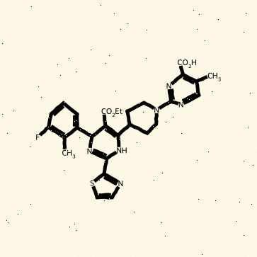 CCOC(=O)C1=C(C2CCN(c3ncc(C)c(C(=O)O)n3)CC2)NC(c2nccs2)=NC1c1cccc(F)c1C